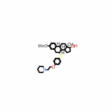 COc1ccc2c(c1)CC(Sc1ccc(OCCN3CCCCC3)cc1)[C@@H]1[C@@H]2CC[C@]2(C)C(O)CC[C@@H]12